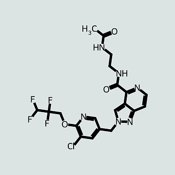 CC(=O)NCCNC(=O)c1nccc2nn(Cc3cnc(OCC(F)(F)C(F)F)c(Cl)c3)cc12